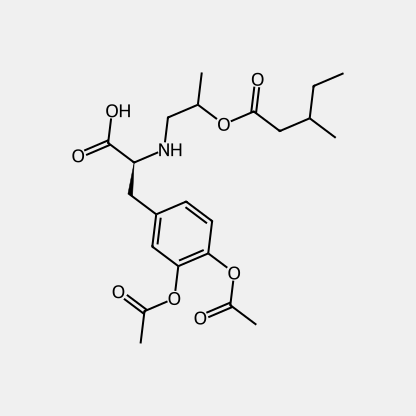 CCC(C)CC(=O)OC(C)CN[C@@H](Cc1ccc(OC(C)=O)c(OC(C)=O)c1)C(=O)O